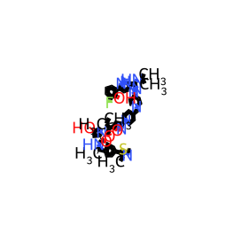 Cc1ncsc1-c1ccc([C@H](C)NC(=O)[C@@H]2C[C@@H](O)CN2C(=O)C(c2cc(N3CCC(CN4CCC(n5nc(NC(C)C)c6nnc(-c7cccc(F)c7O)cc65)CC4)CC3)no2)C(C)C)cc1